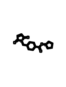 O=C(ON1CCCC1)C1CCC(CN2C(=O)C=CC2=O)CC1